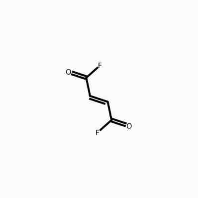 O=C(F)C=CC(=O)F